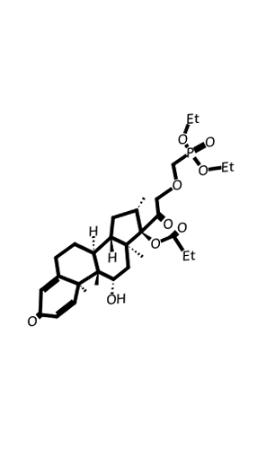 CCOP(=O)(COCC(=O)[C@@]1(OC(=O)CC)[C@@H](C)C[C@H]2[C@@H]3CCC4=CC(=O)C=C[C@]4(C)[C@@]3(C)[C@@H](O)C[C@@]21C)OCC